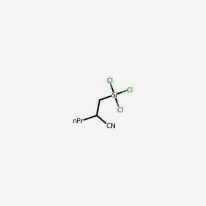 CCCC(C#N)C[Si](Cl)(Cl)Cl